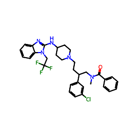 CN(CC(CCN1CCC(Nc2nc3ccccc3n2CC(F)(F)F)CC1)c1cccc(Cl)c1)C(=O)c1ccccc1